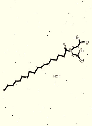 CCCCCCCCCCCCCCCCCC(=O)N(CCC(O)O)CC(O)O.Cl